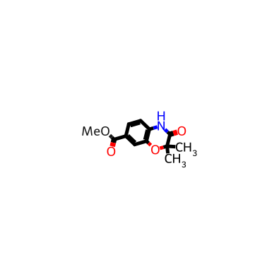 COC(=O)c1ccc2c(c1)OC(C)(C)C(=O)N2